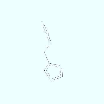 [N-]=[N+]=NCc1cncs1